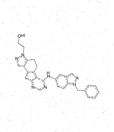 OCCn1ncc2c1CCc1c-2sc2ncnc(Nc3ccc4c(cnn4Cc4ccccc4)c3)c12